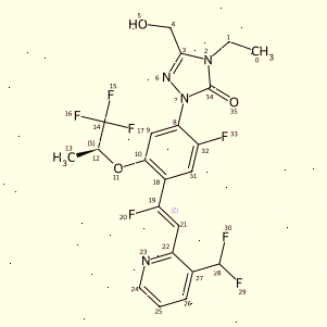 CCn1c(CO)nn(-c2cc(O[C@@H](C)C(F)(F)F)c(/C(F)=C/c3ncccc3C(F)F)cc2F)c1=O